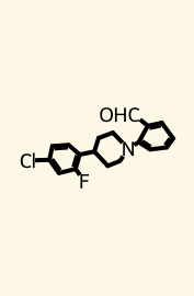 O=Cc1ccccc1N1CCC(c2ccc(Cl)cc2F)CC1